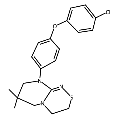 CC1(C)CN2CCSN=C2N(c2ccc(Oc3ccc(Cl)cc3)cc2)C1